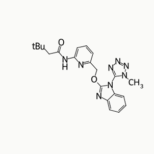 Cn1nnnc1-n1c(OCc2cccc(NC(=O)CC(C)(C)C)n2)nc2ccccc21